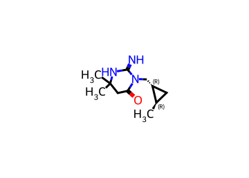 C[C@@H]1C[C@H]1CN1C(=N)NC(C)(C)CC1=O